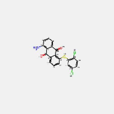 Nc1cccc2c1C(=O)c1cccc(Sc3cc(Cl)ccc3Cl)c1C2=O